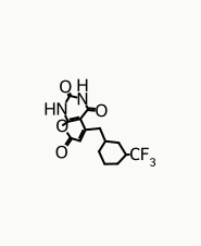 O=c1[nH]c(=O)c2c(CC3CCCC(C(F)(F)F)C3)cc(=O)oc2[nH]1